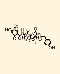 CCn1cc(C(=O)NOC(=O)[C@@H]2N3C(=O)[C@@H](NC(=O)Cc4ccc(O)cc4)[C@H]3SC2(C)C)c(=O)cc1O